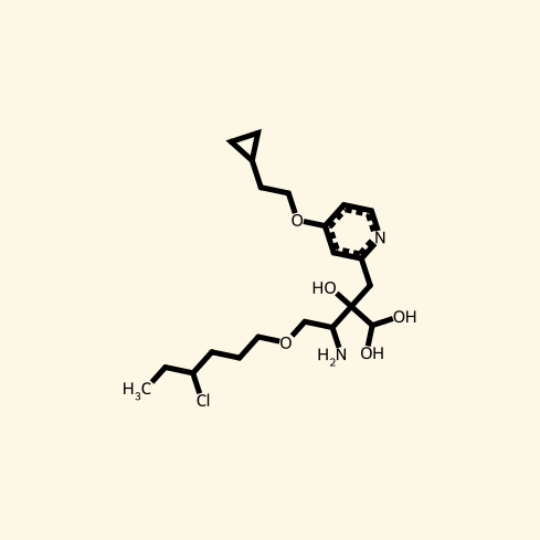 CCC(Cl)CCCOCC(N)C(O)(Cc1cc(OCCC2CC2)ccn1)C(O)O